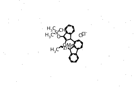 C[CH]=[Zr+2][CH]1c2ccccc2-c2cccc(C3C(OC)=C(O[Si](C)(C)C)c4ccccc43)c21.[Cl-].[Cl-]